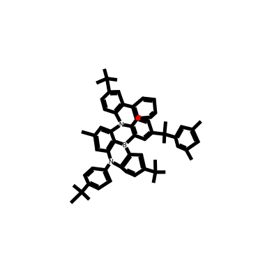 Cc1cc(C)cc(C(C)(C)c2ccc3c(c2)B2c4cc(C(C)(C)C)ccc4N(c4ccc(C(C)(C)C)cc4)c4cc(C)cc(c42)N3c2ccc(C(C)(C)C)cc2-c2ccccc2)c1